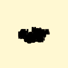 Cn1nnnc1SCC1=C(C(=O)[O-])N2C(=O)C(NC(=O)C(c3ccco3)N(C(N)=O)c3cnc(C4CC4)nc3O)[C@H]2SC1.[Na+]